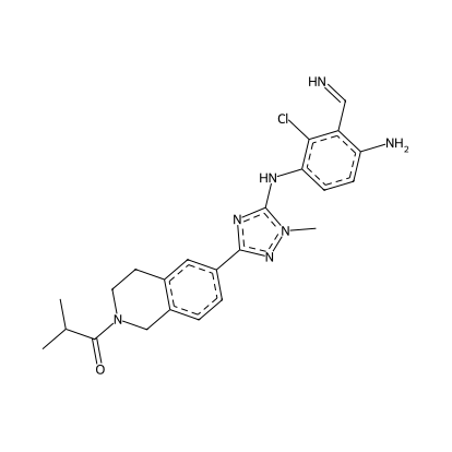 CC(C)C(=O)N1CCc2cc(-c3nc(Nc4ccc(N)c(C=N)c4Cl)n(C)n3)ccc2C1